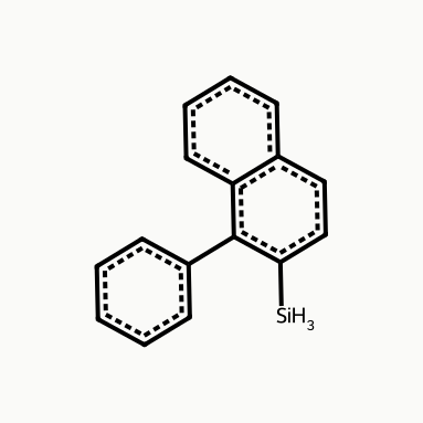 [SiH3]c1ccc2ccccc2c1-c1ccccc1